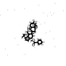 C=C(C)[C@@H]1CC[C@]2(COC(=O)c3ccccc3)CC[C@]3(C)[C@H](CC[C@@H]4[C@@]5(C)CC=C(C)C(C)(C)[C@@H]5CC[C@]43C)[C@@H]12